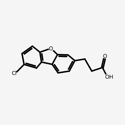 O=C(O)CCc1ccc2c(c1)oc1ccc(Cl)cc12